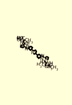 COC(=O)N[C@H](C(=O)N1CCC[C@H]1c1nc2cc(-c3ccc(-c4ccc5[nH]c([C@@H]6CCCN6C(=O)[C@@H](NC(=O)OC)C(C)C)nc5c4)nc3)ccc2[nH]1)C(C)C